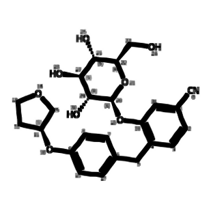 N#Cc1ccc(Cc2ccc(O[C@H]3CCOC3)cc2)c(O[C@@H]2O[C@H](CO)[C@@H](O)[C@H](O)[C@H]2O)c1